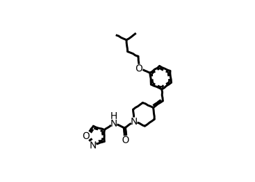 CC(C)CCOc1cccc(C=C2CCN(C(=O)Nc3cnoc3)CC2)c1